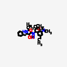 CCc1cc2c(c(N(C)C)c1)OC(C)(C)C[C@@H]2NC[C@@H](O)[C@H](Cc1ccccc1)NC(C)=O